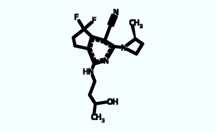 CC(O)CCNc1nc(N2CC[C@@H]2C)c(C#N)c2c1CCC2(F)F